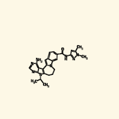 Cc1cc(NC(=O)c2ccc3cc4n(c3c2)CCCc2c-4c3c(N)ncnc3n2C(C)C)nn1C